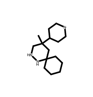 CC1(C2CC[N]CC2)CNNC2(CCCCC2)C1